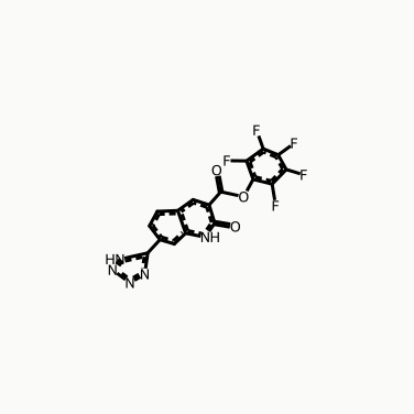 O=C(Oc1c(F)c(F)c(F)c(F)c1F)c1cc2ccc(-c3nnn[nH]3)cc2[nH]c1=O